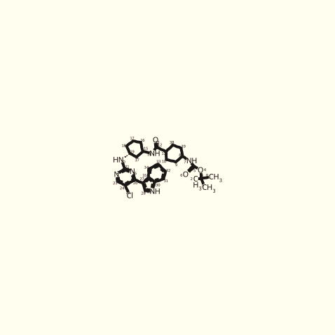 CC(C)(C)OC(=O)NC1CCC(C(=O)NC2CCC[C@@H](Nc3ncc(Cl)c(-c4c[nH]c5ccccc45)n3)C2)CC1